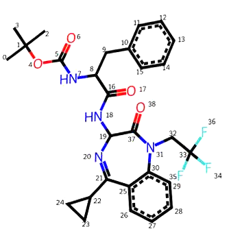 CC(C)(C)OC(=O)NC(Cc1ccccc1)C(=O)NC1N=C(C2CC2)c2ccccc2N(CC(F)(F)F)C1=O